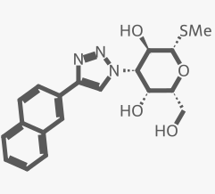 CS[C@@H]1O[C@H](CO)[C@H](O)[C@H](n2cc(-c3ccc4ccccc4c3)nn2)[C@H]1O